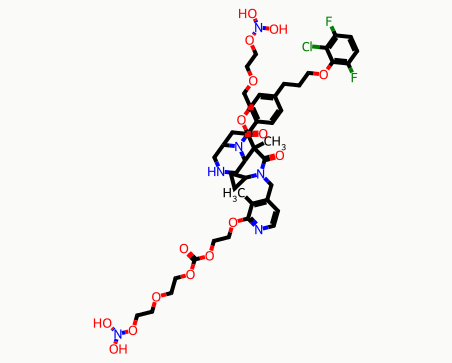 Cc1c(CN(C(=O)C2(C)C(c3ccc(CCCOc4c(F)ccc(F)c4Cl)cc3)CC3CNCC2N3C(=O)OCCOCCON(O)O)C2CC2)ccnc1OCCOC(=O)OCCOCCON(O)O